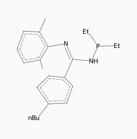 CCCCc1ccc(/C(=N\c2c(C)cccc2C)NP(CC)CC)cc1